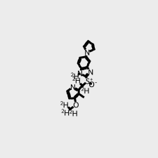 [2H]n1c([S+]([O-])C([2H])([2H])c2nccc(OC([2H])([2H])[2H])c2C)nc2cc(-n3cccc3)ccc21